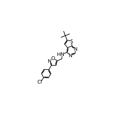 CC(C)(C)c1cc2c(NCc3cc(-c4ccc(Cl)cc4)no3)ncnc2s1